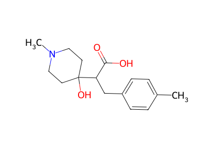 Cc1ccc(CC(C(=O)O)C2(O)CCN(C)CC2)cc1